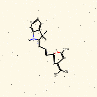 CN1/C(=C/C=C/C2=CC(=C(C#N)C#N)C=C(C(C)(C)C)O2)C(C)(C)c2ccccc21